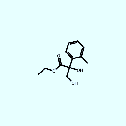 CCOC(=O)C(O)(CO)c1ccccc1C